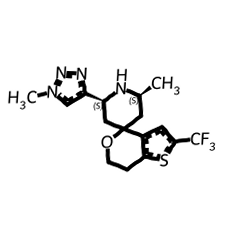 C[C@H]1CC2(C[C@@H](c3cn(C)nn3)N1)OCCc1sc(C(F)(F)F)cc12